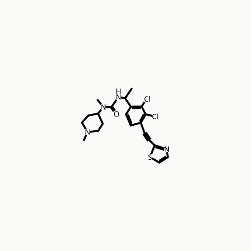 CC(NC(=O)N(C)C1CCN(C)CC1)c1ccc(C#Cc2nccs2)c(Cl)c1Cl